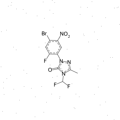 Cc1nn(-c2cc([N+](=O)[O-])c(Br)cc2F)c(=O)n1C(F)F